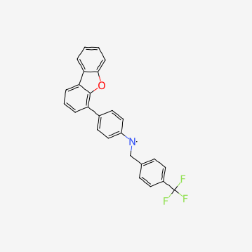 FC(F)(F)c1ccc(C[N]c2ccc(-c3cccc4c3oc3ccccc34)cc2)cc1